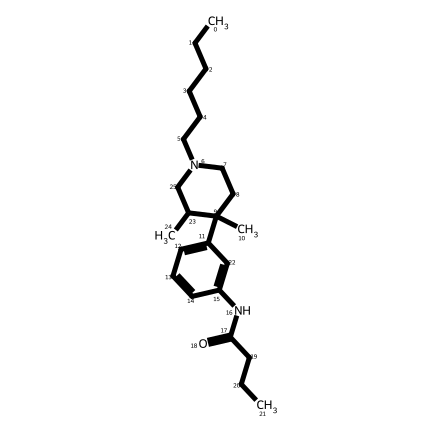 CCCCCCN1CCC(C)(c2cccc(NC(=O)CCC)c2)C(C)C1